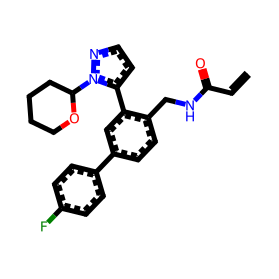 C=CC(=O)NCc1ccc(-c2ccc(F)cc2)cc1-c1ccnn1C1CCCCO1